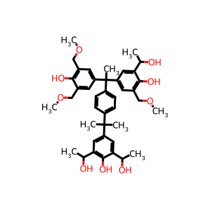 COCc1cc(C(C)(c2ccc(C(C)(C)c3cc(C(C)O)c(O)c(C(C)O)c3)cc2)c2cc(COC)c(O)c(C(C)O)c2)cc(COC)c1O